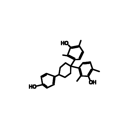 Cc1ccc(C2(c3ccc(C)c(O)c3C)CCC(c3ccc(O)cc3)CC2)c(C)c1O